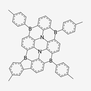 Cc1ccc(B2c3cccc4c3N3c5c2ccc2c5N5c6c(ccc7c6B(c6ccc(C)cc6-7)c6ccc(c3c65)B4c3ccc(C)cc3)B2c2ccc(C)cc2)cc1